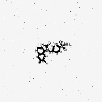 Cc1cc2ncc3[nH]c(=O)n(Cc4ccc(S(N)(=O)=O)nc4)c3c2cc1C